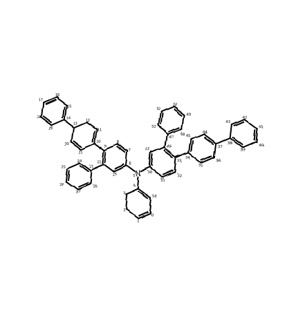 C1=CCCC(N(c2ccc(C3=CCC(c4ccccc4)C=C3)c(-c3ccccc3)c2)c2ccc(-c3ccc(-c4ccccc4)cc3)c(-c3ccccc3)c2)=C1